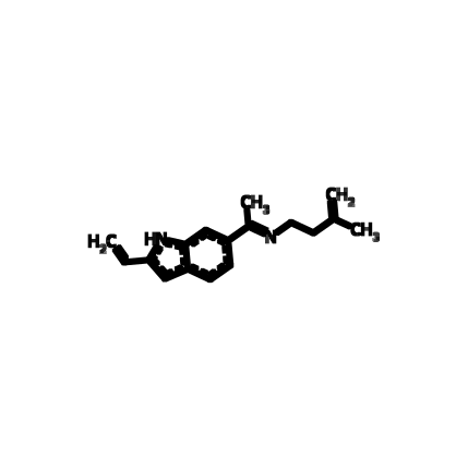 C=Cc1cc2ccc(/C(C)=N/CCC(=C)C)cc2[nH]1